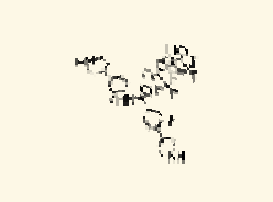 Cc1cc(C2=CCNCC2)ccc1NC(=O)c1ccc(C2=CCNCC2)c(F)c1.O=C(O)C(F)(F)F.O=C(O)C(F)(F)F